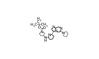 CC(C)(C)OC(=O)N1CCC(Nc2cccc(-c3cnc4cnc(N5CCCC5)cn34)n2)C1